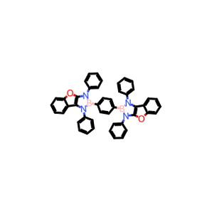 c1ccc(N2B(c3ccc(B4N(c5ccccc5)c5oc6ccccc6c5N4c4ccccc4)cc3)N(c3ccccc3)c3c2oc2ccccc32)cc1